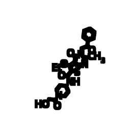 CCOc1c(C(=O)NC2CCN(C(=O)CO)CC2)sc2nc(C)n(CC(=O)c3ccccc3)c(=O)c12